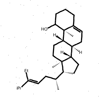 CC/C(=C\C[C@@H](C)[C@H]1CC[C@H]2[C@@H]3CC=C4CCCC(O)[C@]4(C)[C@H]3CC[C@]12C)C(C)C